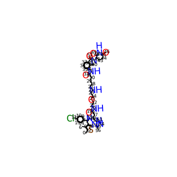 Cc1sc2c(c1C)C(c1ccc(Cl)cc1)=N[C@@H](CC(=O)NCCOCCNCCCCC(=O)Nc1cccc3c1CN(C1CCC(=O)NC1=O)C3=O)c1nnc(C)n1-2